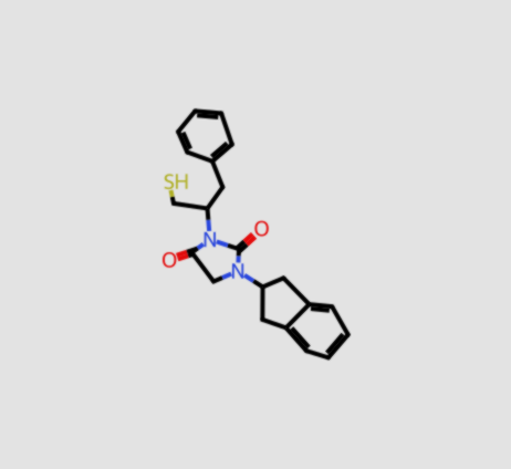 O=C1CN(C2Cc3ccccc3C2)C(=O)N1C(CS)Cc1ccccc1